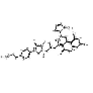 COC(=O)C1=C(CN2CCN3C(=O)N(c4ccc(CCC(=O)O)cc4)C[C@@H]3C2)NC(c2nccn2C)=NC1c1ccc(F)cc1Cl